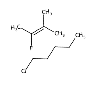 CC(C)=C(C)F.CCCCCCl